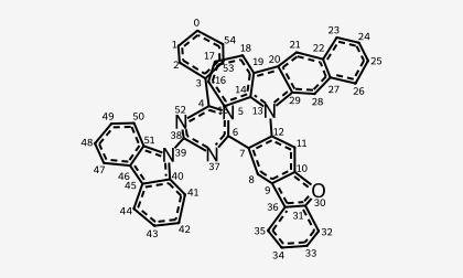 c1ccc(-c2nc(-c3cc4c(cc3-n3c5ccccc5c5cc6ccccc6cc53)oc3ccccc34)nc(-n3c4ccccc4c4ccccc43)n2)cc1